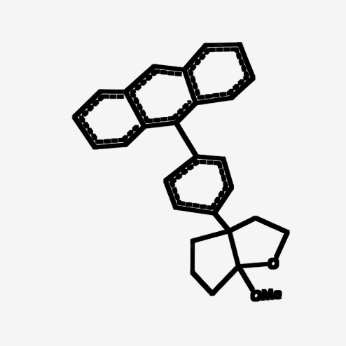 COC12CCCC1(c1ccc(-c3c4ccccc4cc4ccccc34)cc1)CCO2